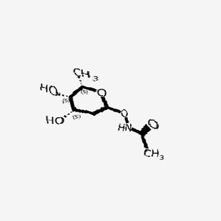 CC(=O)NOC1C[C@H](O)[C@H](O)[C@H](C)O1